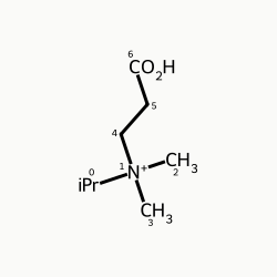 CC(C)[N+](C)(C)CCC(=O)O